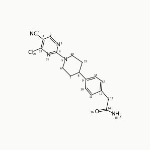 N#Cc1cnc(N2CCC(c3ccc([CH]C(N)=O)cc3)CC2)nc1Cl